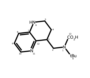 CC(C)(C)N(CC1CCNc2cccnc21)C(=O)O